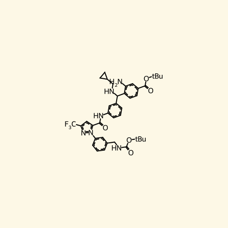 CC(C)(C)OC(=O)NCc1cccc(-n2nc(C(F)(F)F)cc2C(=O)Nc2cccc(C(NCC3CC3)c3ccc(C(=O)OC(C)(C)C)cc3N)c2)c1